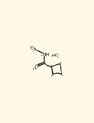 Cl.NNC(=O)C1CCC1